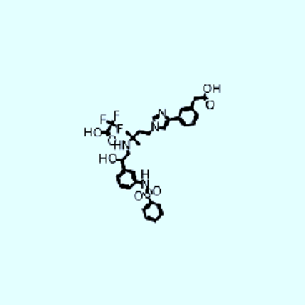 CC(C)(CCn1cnc(-c2cccc(CC(=O)O)c2)c1)NCC(O)c1cccc(NS(=O)(=O)c2ccccc2)c1.O=C(O)C(F)(F)F